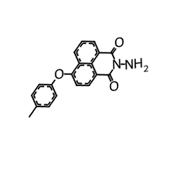 Cc1ccc(Oc2ccc3c4c(cccc24)C(=O)N(N)C3=O)cc1